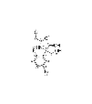 O=C(CCl)NC(CO)(CO)c1cc(Br)ccc1F